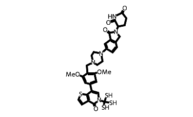 COc1cc(-c2cn(C(S)(S)S)c(=O)c3ccsc23)cc(OC)c1CN1CCN(c2ccc3c(c2)C(=O)N(C2CCC(=O)NC2=O)C3)CC1